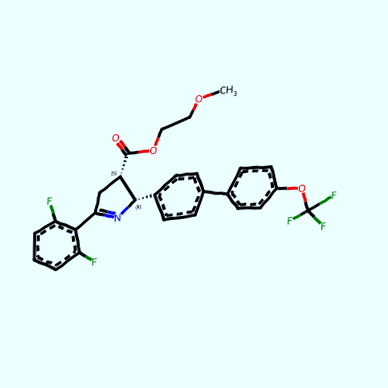 COCCOC(=O)[C@H]1CC(c2c(F)cccc2F)=N[C@H]1c1ccc(-c2ccc(OC(F)(F)F)cc2)cc1